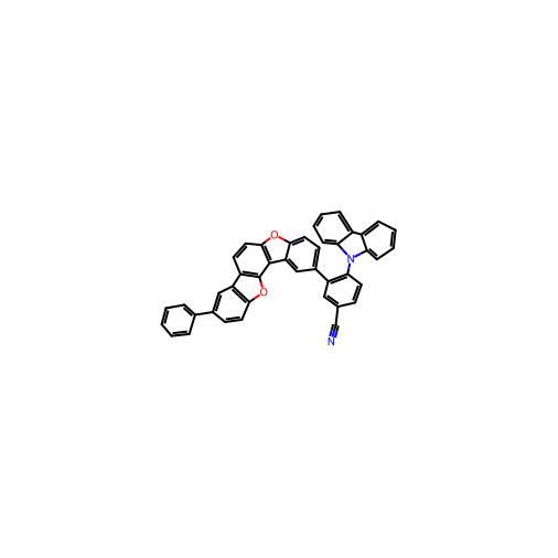 N#Cc1ccc(-n2c3ccccc3c3ccccc32)c(-c2ccc3oc4ccc5c6cc(-c7ccccc7)ccc6oc5c4c3c2)c1